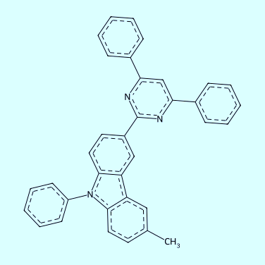 Cc1ccc2c(c1)c1cc(-c3nc(-c4ccccc4)cc(-c4ccccc4)n3)ccc1n2-c1ccccc1